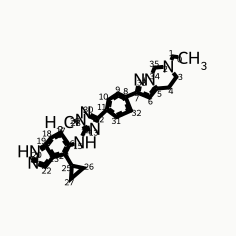 CCN1CCc2cc(-c3ccc(-c4nc(Nc5ccc6[nH]ncc6c5C5CC5)n(C)n4)cc3)nn2C1